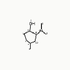 CC1CCC(O)C(N(C)C)C1